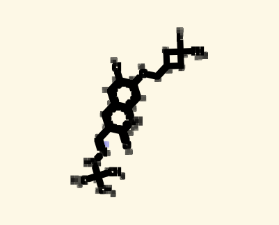 CC(C)(C)N/N=C/c1cc2cc(Cl)c(OCC3CC(F)(P)C3)cc2[nH]c1=O